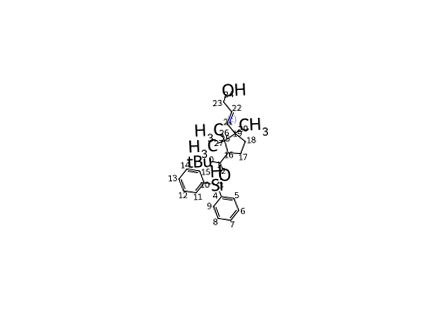 CC(C)(C)C(O[SiH](c1ccccc1)c1ccccc1)C1CCC(C)(/C=C/CO)C1(C)C